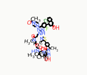 CC(=O)N1CCN(c2nc(NCCC(=O)N(C)CCOCC(=O)NC(C(=O)N3C[C@H](O)C[C@H]3C(=O)N[C@@H](C)c3ccc(-c4scnc4C)cc3)C(C)(C)C)nc3c(F)c(-c4cc(O)cc5ccccc45)c(Cl)cc23)CC1